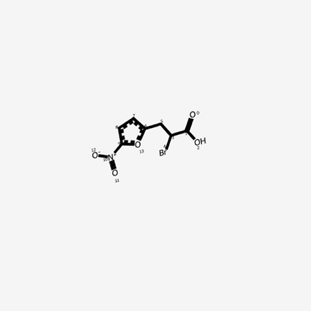 O=C(O)C(Br)Cc1ccc([N+](=O)[O-])o1